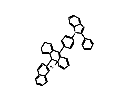 CC12C=CC=CC1=C(c1ccc(-n3c(-c4ccccc4)nc4ccccc43)cc1)C1=CCCC=C1C2c1ccc2ccccc2c1